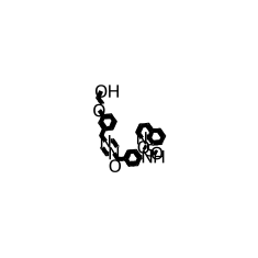 O=C(c1ccc(NS(=O)(=O)c2cccc3cccnc23)cc1)N1CCN(Cc2cccc(OCCO)c2)CC1